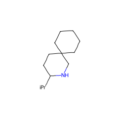 CC(C)C1CCC2(CCCCC2)CN1